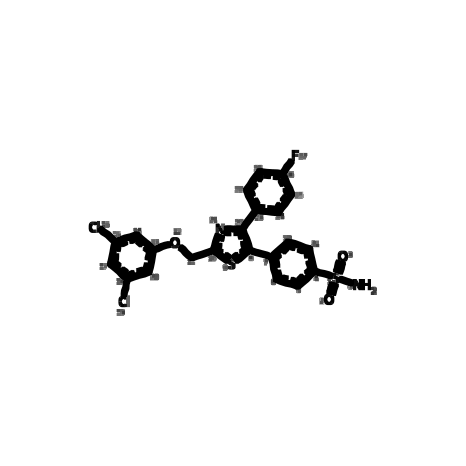 NS(=O)(=O)c1ccc(-c2sc(COc3cc(Cl)cc(Cl)c3)nc2-c2ccc(F)cc2)cc1